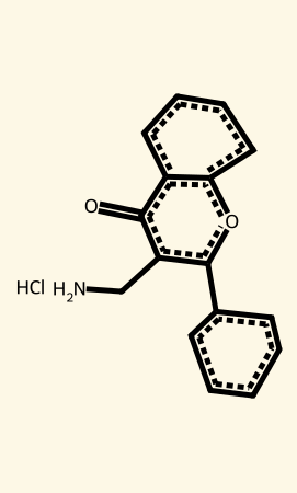 Cl.NCc1c(-c2ccccc2)oc2ccccc2c1=O